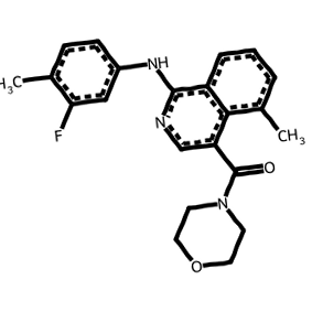 Cc1ccc(Nc2ncc(C(=O)N3CCOCC3)c3c(C)cccc23)cc1F